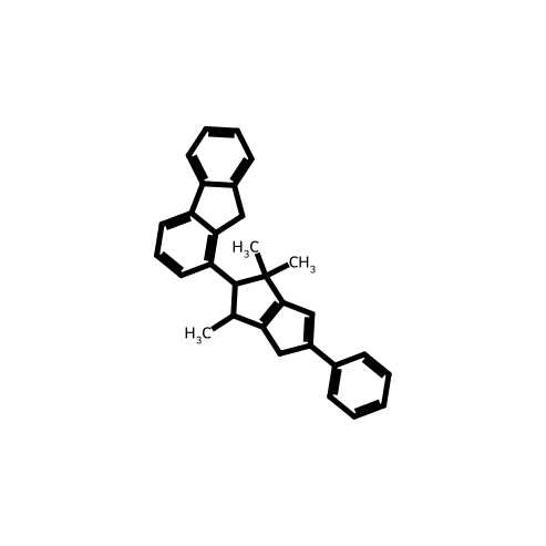 CC1C2=C(C=C(c3ccccc3)C2)C(C)(C)C1c1cccc2c1Cc1ccccc1-2